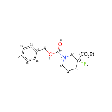 CCOC(=O)C1(F)CCCN(C(=O)OCc2ccccc2)C1